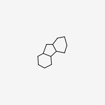 [CH]1CCCC2C1CC1CCCCC12